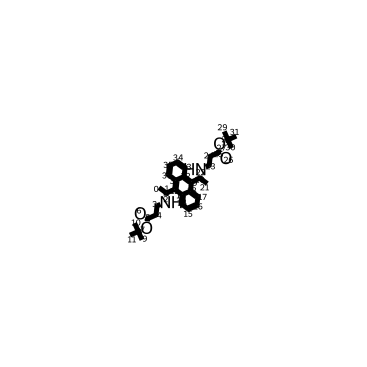 CC(NCCC(=O)OC(C)(C)C)c1c2ccccc2c(C(C)NCCC(=O)OC(C)(C)C)c2ccccc12